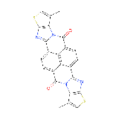 Cc1csc2nc3c4ccc5c(=O)n6c(nc7scc(C)c76)c6ccc(c(=O)n3c12)c4c56